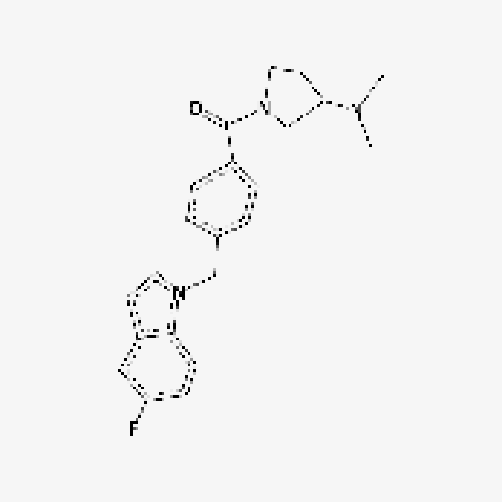 CN(C)C1CCN(C(=O)c2ccc(Cn3ccc4cc(F)ccc43)cc2)C1